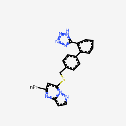 CCCc1cc(SCc2ccc(-c3ccccc3-c3nnn[nH]3)cc2)n2nccc2n1